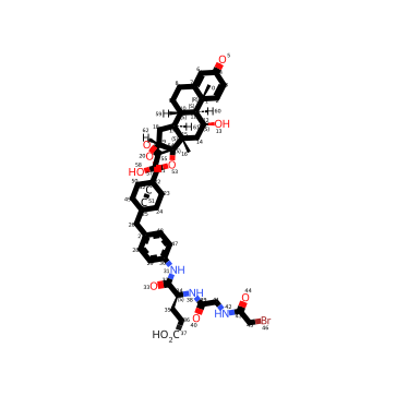 C[C@]12C=CC(=O)C=C1CC[C@@H]1[C@@H]2[C@@H](O)C[C@@]2(C)[C@H]1C[C@H]1O[C@@H](C34CCC(Cc5ccc(NC(=O)[C@H](CCC(=O)O)NC(=O)CNC(=O)CBr)cc5)(CC3)CC4)O[C@]12C(=O)CO